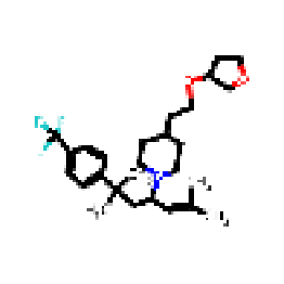 CC(C)=CC(CC(C)(C)c1ccc(C(F)(F)F)cc1)N1CCC(CCOC2CCOC2)CC1